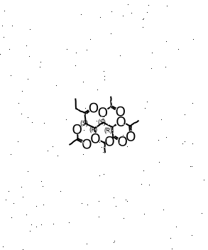 CCC(=O)[C@@H](OC(C)=O)[C@H](OC(C)=O)[C@H](OC(C)=O)[C@H](C=O)OC(C)=O